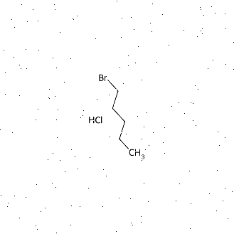 CCCCCBr.Cl